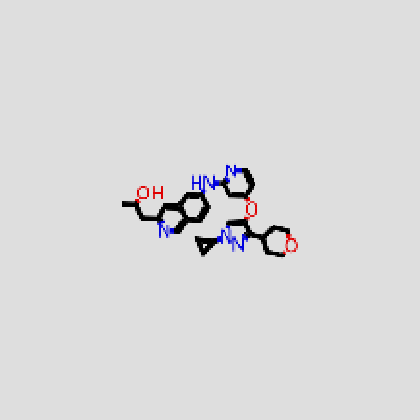 CC(O)Cc1cc2cc(Nc3cc(Oc4cn(C5CC5)nc4C4CCOCC4)ccn3)ccc2cn1